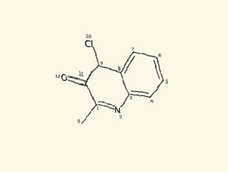 CC1=Nc2ccccc2C(Cl)C1=O